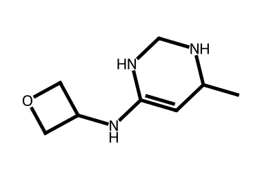 CC1C=C(NC2COC2)NCN1